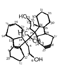 CC(C)(C1(CCO)C2=C(CCCC2)C2CC=CCC21)C1(CCO)C2CC#CCC2C2CCCCC21I